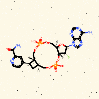 NC(=O)c1cc([C@@H]2C[C@@H]3COP(=O)(O)O[C@H]4[C@@H](F)[C@H](n5cnc6c(N)ncnc65)O[C@@H]4COP(=O)(O)OC[C@H]32)ccn1